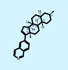 C[C@H]1CC[C@H]2[C@@H](CC[C@@H]3[C@@H]2CC[C@]2(C)C(c4ccc5cnccc5c4)=CC[C@@H]32)C1